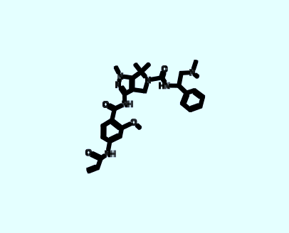 C=CC(=O)Nc1ccc(C(=O)Nc2nn(C)c3c2CN(C(=O)NC(CN(C)C)c2ccccc2)C3(C)C)c(OC)c1